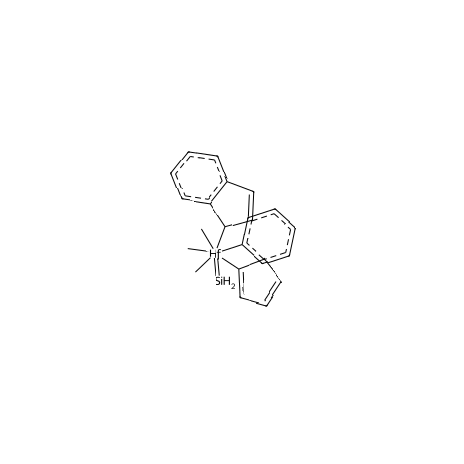 [CH3][Hf]([CH3])([CH3])(=[SiH2])([C]1=CC=CC1)([c]1ccccc1)[CH]1C=Cc2ccccc21